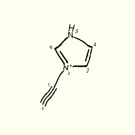 C#C[n+]1cc[nH]c1